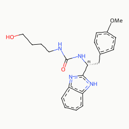 COc1ccc(C[C@@H](NC(=O)NCCCCO)c2nc3ccccc3[nH]2)cc1